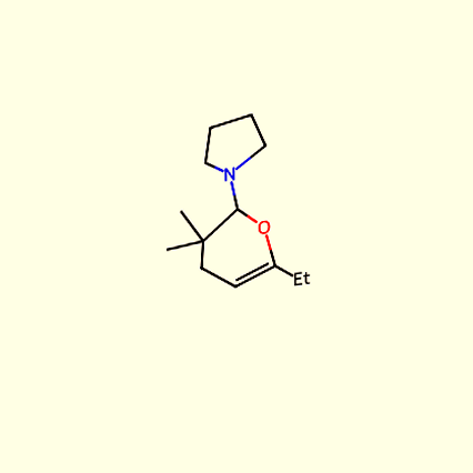 CCC1=CCC(C)(C)C(N2CCCC2)O1